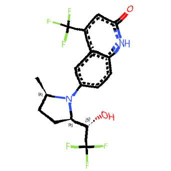 C[C@@H]1CC[C@H]([C@H](O)C(F)(F)F)N1c1ccc2[nH]c(=O)cc(C(F)(F)F)c2c1